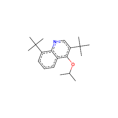 CC(C)Oc1c(C(C)(C)C)cnc2c(C(C)(C)C)cccc12